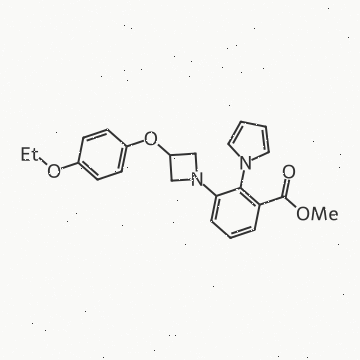 CCOc1ccc(OC2CN(c3cccc(C(=O)OC)c3-n3cccc3)C2)cc1